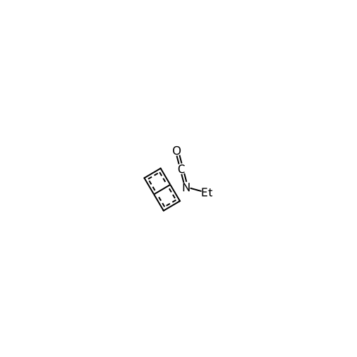 CCN=C=O.c1cc2ccc1-2